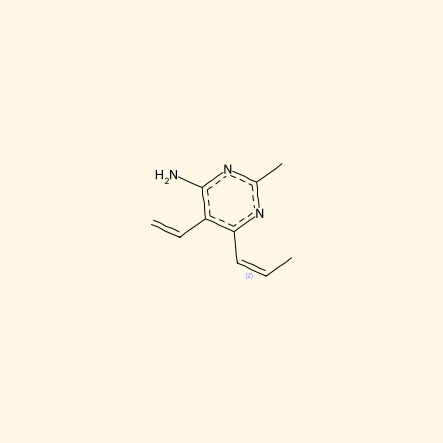 C=Cc1c(N)nc(C)nc1/C=C\C